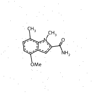 COc1ccc(C)c2c1cc(C(N)=O)n2C